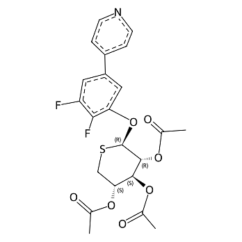 CC(=O)O[C@@H]1[C@@H](OC(C)=O)[C@H](OC(C)=O)CS[C@H]1Oc1cc(-c2ccncc2)cc(F)c1F